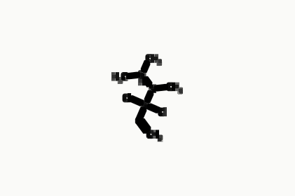 C=C[Si](Cl)(Cl)N(C)[SiH](C)C